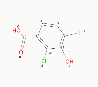 O=C(O)c1ccc(I)c(O)c1Cl